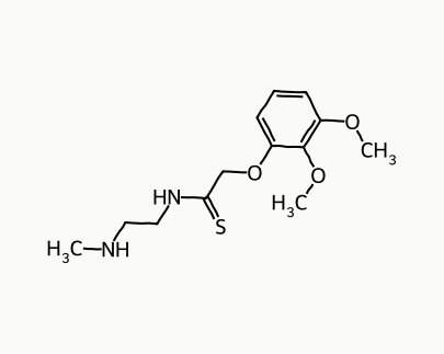 CNCCNC(=S)COc1cccc(OC)c1OC